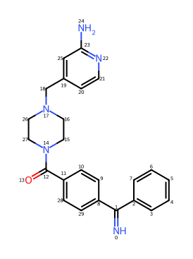 N=C(c1ccccc1)c1ccc(C(=O)N2CCN(Cc3ccnc(N)c3)CC2)cc1